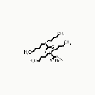 CCCCCN(CCCCC)C(=S)[S-].CCCCCN(CCCCC)C(=S)[S-].[Pb+2]